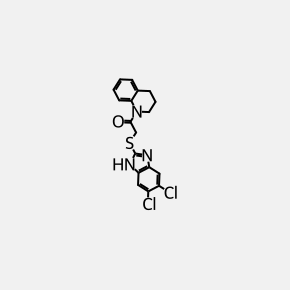 O=C(CSc1nc2cc(Cl)c(Cl)cc2[nH]1)N1CCCc2ccccc21